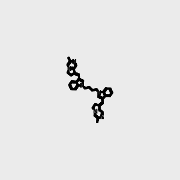 Cc1c[n+]2c(cn1)/C(=C/c1cn(CCCCn3cc(/C=C4\CC[n+]5cc(C)ncc54)c4ccccc43)c3ccccc13)CC2